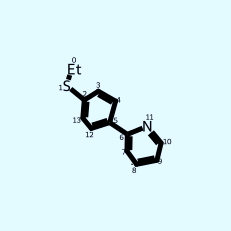 CCSc1ccc(-c2c[c]ccn2)cc1